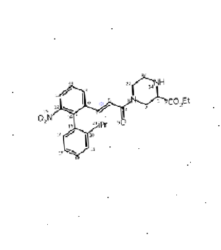 CCOC(=O)C1CN(C(=O)/C=C/c2cc[c]c([N+](=O)[O-])c2-c2ccccc2C(C)C)CCN1